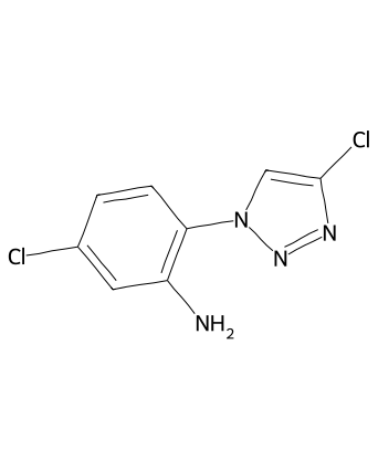 Nc1cc(Cl)ccc1-n1cc(Cl)nn1